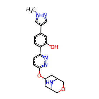 Cn1cc(-c2ccc(-c3ccc(OC4CC5COCC(C4)N5)nn3)c(O)c2)cn1